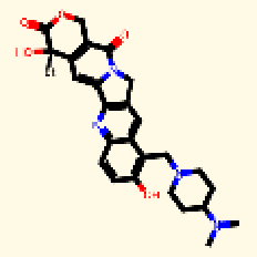 CC[C@@]1(O)C(=O)OCc2c1cc1n(c2=O)Cc2cc3c(CN4CCC(N(C)C)CC4)c(O)ccc3nc2-1